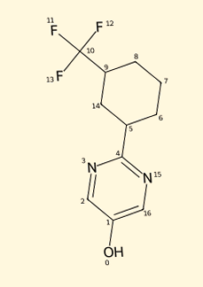 Oc1cnc(C2CCCC(C(F)(F)F)C2)nc1